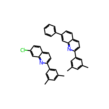 Cc1cc(C)cc(-c2ccc3ccc(-c4ccccc4)cc3n2)c1.Cc1cc(C)cc(-c2ccc3ccc(Cl)cc3n2)c1